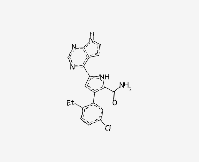 CCc1ccc(Cl)cc1-c1cc(-c2ncnc3[nH]ccc23)[nH]c1C(N)=O